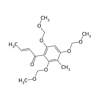 CC=CC(=O)c1c(OCOC)cc(OCOC)c(C)c1OCOC